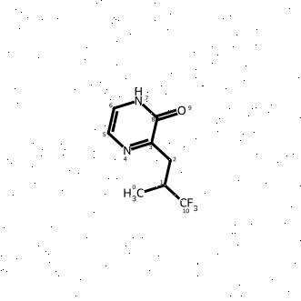 CC(Cc1ncc[nH]c1=O)C(F)(F)F